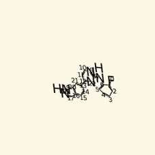 Fc1ccccc1Nc1nccc(-c2ccc3cn[nH]c3c2)n1